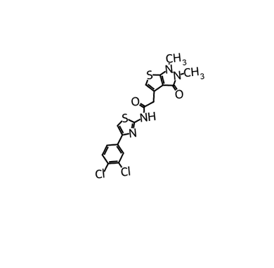 Cn1c(=O)c2c(CC(=O)Nc3nc(-c4ccc(Cl)c(Cl)c4)cs3)csc2n1C